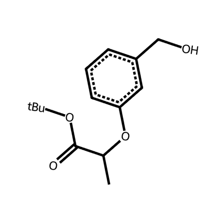 CC(Oc1cccc(CO)c1)C(=O)OC(C)(C)C